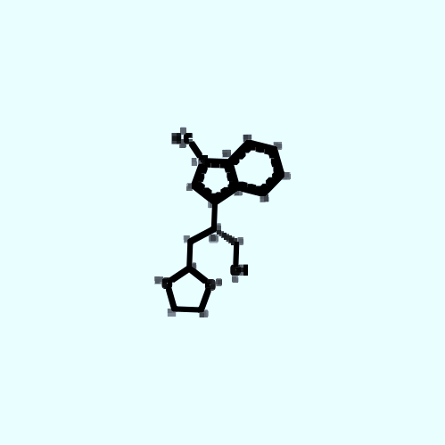 Cn1cc([C@H](CO)CC2OCCO2)c2ccccc21